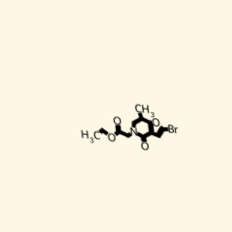 CCOC(=O)CN1CC(C)c2oc(Br)cc2C1=O